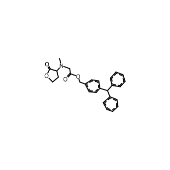 CN(CC(=O)OCc1ccc(C(c2ccccc2)c2ccccc2)cc1)C1CCOC1=O